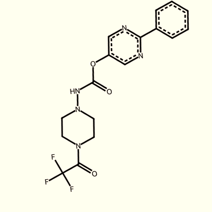 O=C(NN1CCN(C(=O)C(F)(F)F)CC1)Oc1cnc(-c2ccccc2)nc1